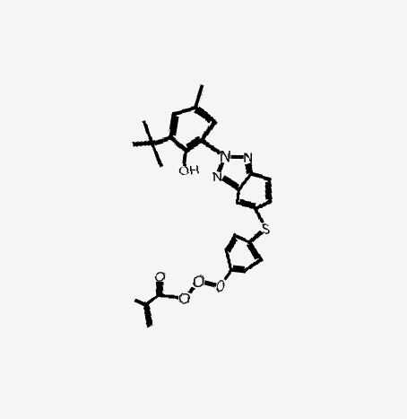 C=C(C)C(=O)OOOc1ccc(Sc2ccc3nn(-c4cc(C)cc(C(C)(C)C)c4O)nc3c2)cc1